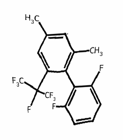 Cc1[c]c(C)c(-c2c(F)cccc2F)c(C(F)(C(F)(F)F)C(F)(F)F)c1